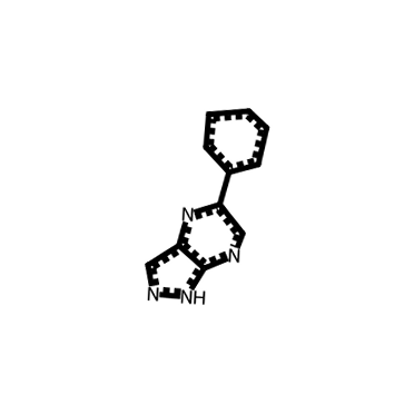 c1ccc(-c2cnc3[nH]ncc3n2)cc1